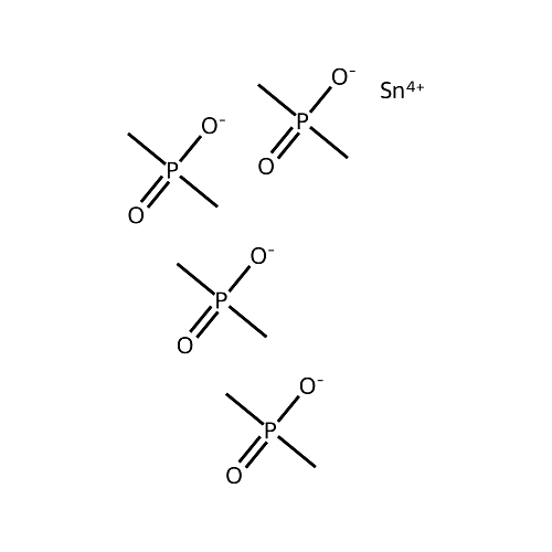 CP(C)(=O)[O-].CP(C)(=O)[O-].CP(C)(=O)[O-].CP(C)(=O)[O-].[Sn+4]